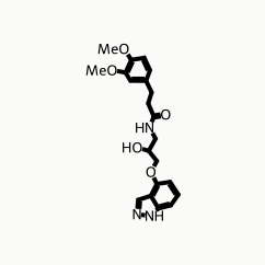 COc1ccc(CCC(=O)NCC(O)COc2cccc3[nH]ncc23)cc1OC